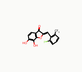 O=C1C(=Cc2c(F)cccc2C(F)(F)F)Oc2c1ccc(O)c2O